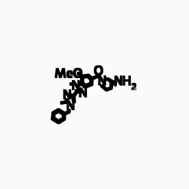 COc1cc(C(=O)N2CCC[C@@H](N)C2)cc2nc(-c3cn(Cc4ccccc4)c(C)n3)n(C)c12